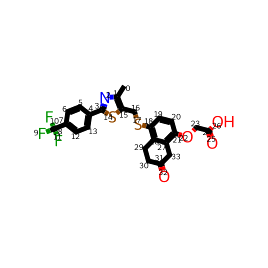 Cc1nc(-c2ccc(C(F)(F)F)cc2)sc1CSc1ccc(OCC(=O)O)c2c1CCC(=O)C2